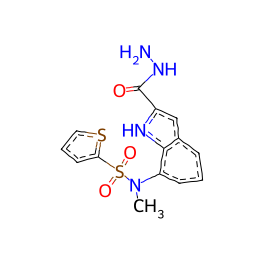 CN(c1cccc2cc(C(=O)NN)[nH]c12)S(=O)(=O)c1cccs1